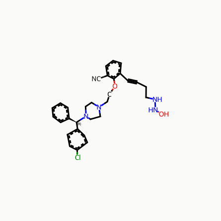 N#Cc1cccc(C#CCCNNO)c1OCCN1CCN([C@H](c2ccccc2)c2ccc(Cl)cc2)CC1